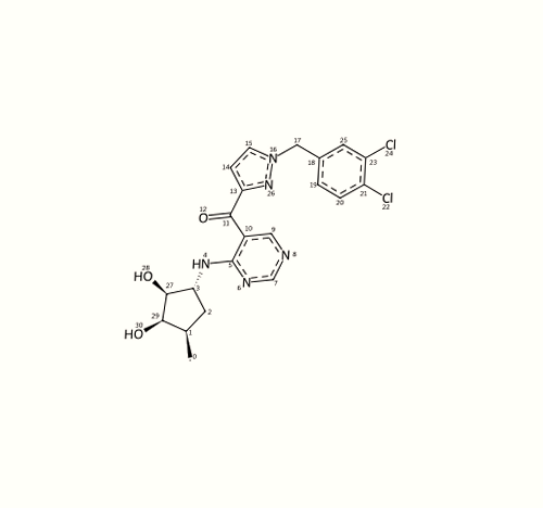 [CH2][C@@H]1C[C@@H](Nc2ncncc2C(=O)c2ccn(Cc3ccc(Cl)c(Cl)c3)n2)[C@H](O)[C@@H]1O